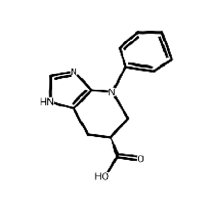 O=C(O)[C@H]1Cc2[nH]cnc2N(c2ccccc2)C1